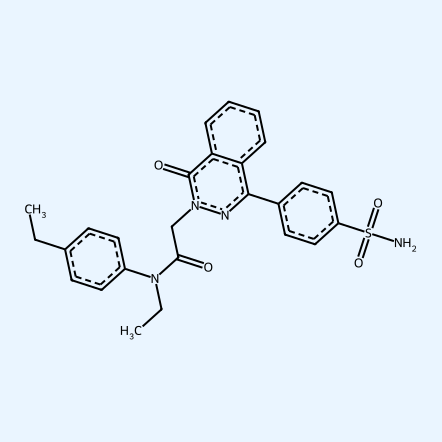 CCc1ccc(N(CC)C(=O)Cn2nc(-c3ccc(S(N)(=O)=O)cc3)c3ccccc3c2=O)cc1